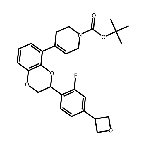 CC(C)(C)OC(=O)N1CC=C(c2cccc3c2OC(c2ccc(C4COC4)cc2F)CO3)CC1